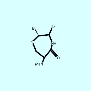 CC[C@H]1SCC(NC)C(=O)NC1C(C)=O